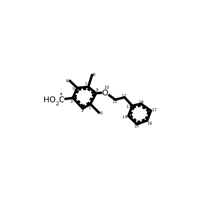 Cc1cc(C(=O)O)c(C)c(C)c1OCCc1ccccc1